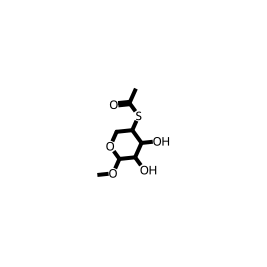 COC1OCC(SC(C)=O)C(O)C1O